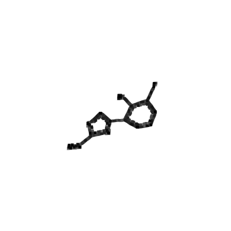 CNc1nc(-c2cccc(F)c2Br)cs1